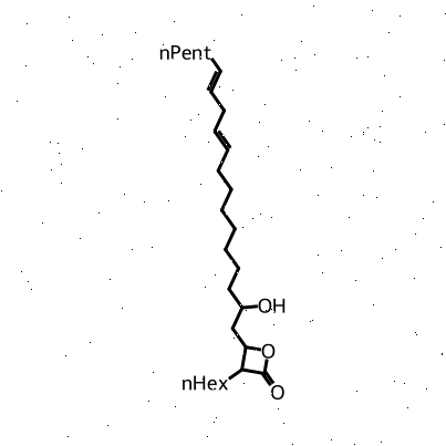 CCCCCC=CCC=CCCCCCCCC(O)CC1OC(=O)C1CCCCCC